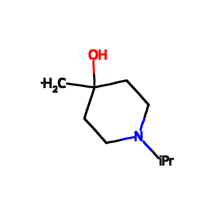 [CH2]C1(O)CCN(C(C)C)CC1